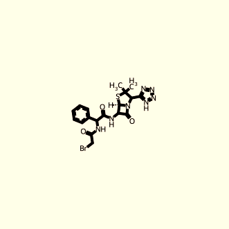 CC1(C)S[C@@H]2C(NC(=O)C(NC(=O)CBr)c3ccccc3)C(=O)N2C1c1nnn[nH]1